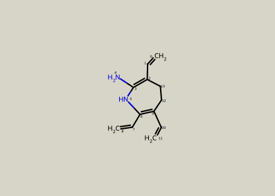 C=CC1=C(N)NC(C=C)=C(C=C)CC1